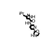 CC(C)Cc1cc(C(=O)Nc2ccc([C@@H]3CNCCO3)nc2)[nH]n1